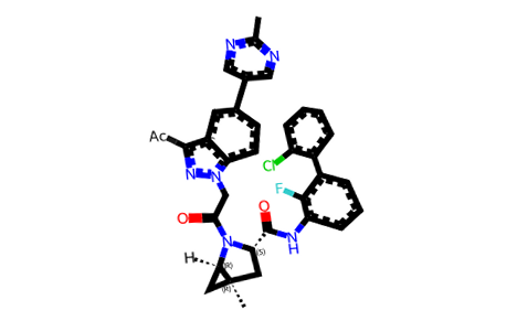 CC(=O)c1nn(CC(=O)N2[C@H](C(=O)Nc3cccc(-c4ccccc4Cl)c3F)C[C@@]3(C)C[C@@H]23)c2ccc(-c3cnc(C)nc3)cc12